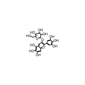 OCC1O[C@@H](Oc2cc3c(O)c(O)c(O)cc3[o+]c2-c2cc(O)c(O)c(O)c2)C(O)[C@@H](O)[C@@H]1O